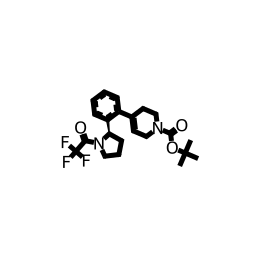 CC(C)(C)OC(=O)N1CC=C(c2ccccc2[C@H]2CCCN2C(=O)C(F)(F)F)CC1